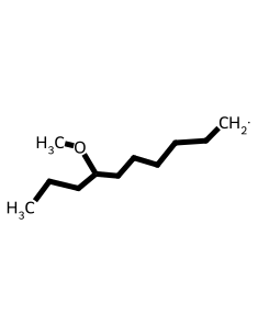 [CH2]CCCCCC(CCC)OC